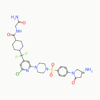 NC(=O)CNC(=O)C1CCC(C(F)(F)c2cc(Cl)nc(N3CCN(S(=O)(=O)c4ccc(N5C[C@H](N)CC5=O)cc4)CC3)c2)CC1